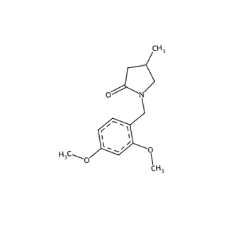 COc1ccc(CN2CC(C)CC2=O)c(OC)c1